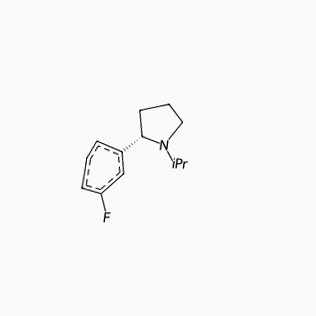 CC(C)N1CCC[C@H]1c1cccc(F)c1